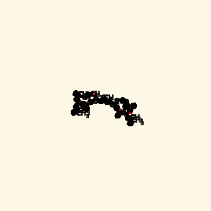 C=Cc1ccc(OCCC2(C)c3ccccc3-c3ccc(N(c4ccc5c(c4)C(C)(C)c4ccccc4-5)c4ccc5c(c4)c4ccccc4n5-c4ccc(COCc5ccc6c(c5)C(C)(C)c5cc(COCc7ccc(-n8c9ccccc9c9cc(N(c%10ccc%11c(c%10)C(C)(C)c%10ccccc%10-%11)c%10ccc%11c(c%10)C(CCOc%10ccc(C=C)cc%10)(c%10ccccc%10)c%10ccccc%10-%11)ccc98)cc7)ccc5-6)cc4)cc32)cc1